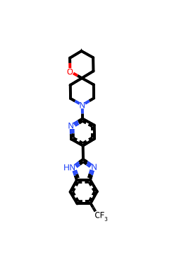 FC(F)(F)c1ccc2[nH]c(-c3ccc(N4CCC5(CC[CH]CO5)CC4)nc3)nc2c1